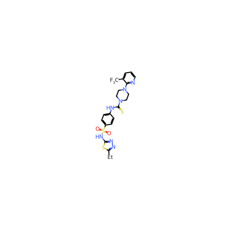 CCc1nnc(NS(=O)(=O)c2ccc(NC(=S)N3CCN(c4ncccc4C(F)(F)F)CC3)cc2)s1